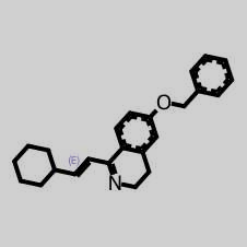 C(=C\C1CCCCC1)/C1=NCCc2cc(OCc3ccccc3)ccc21